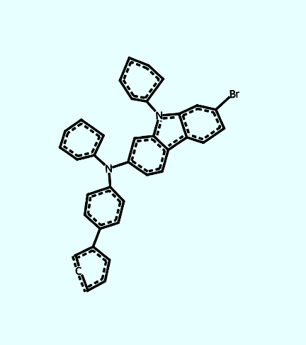 Brc1ccc2c3ccc(N(c4ccccc4)c4ccc(-c5ccccc5)cc4)cc3n(-c3ccccc3)c2c1